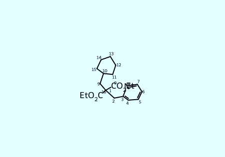 CCOC(=O)C(Cc1ccccn1)(CC1CCCCC1)C(=O)OCC